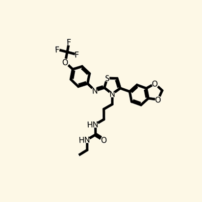 CCNC(=O)NCCCn1c(-c2ccc3c(c2)OCO3)cs/c1=N\c1ccc(OC(F)(F)F)cc1